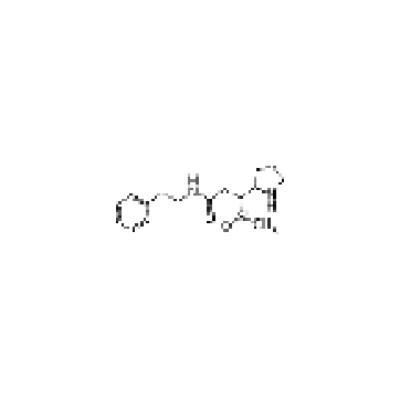 C[S+]([O-])C(CC(=O)NCCc1ccccc1)C1CCCN1